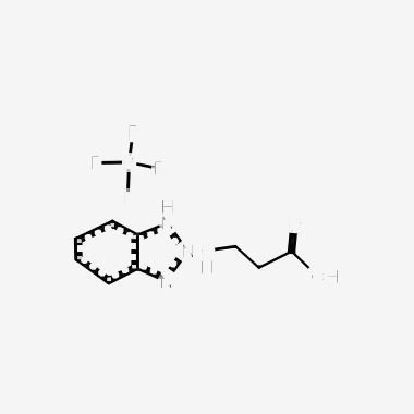 CCCC(=O)O.F[B-](F)(F)F.c1ccc2[nH]nnc2c1